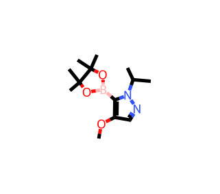 COc1cnn(C(C)C)c1B1OC(C)(C)C(C)(C)O1